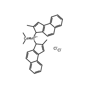 CC1=Cc2c(ccc3ccccc23)[CH]1[Hf+2]([CH]1C(C)=Cc2c1ccc1ccccc21)=[Ge]([CH3])[CH3].[Cl-].[Cl-]